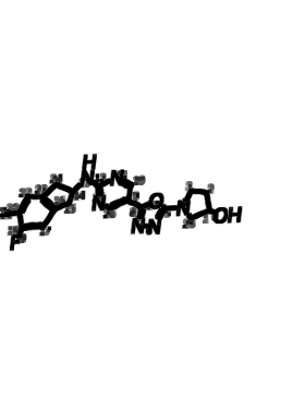 OC1CCN(c2nnc(-c3cnc(NC4Cc5cc(F)c(F)cc5C4)nc3)o2)C1